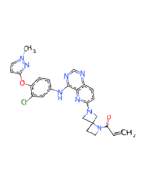 C=CC(=O)N1CCC12CN(c1ccc3ncnc(Nc4ccc(Oc5ccn(C)n5)c(Cl)c4)c3n1)C2